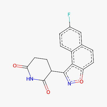 O=C1CCC(c2noc3ccc4cc(F)ccc4c23)C(=O)N1